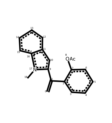 C=C(c1ccccc1OC(C)=O)c1cc2ccccc2n1C